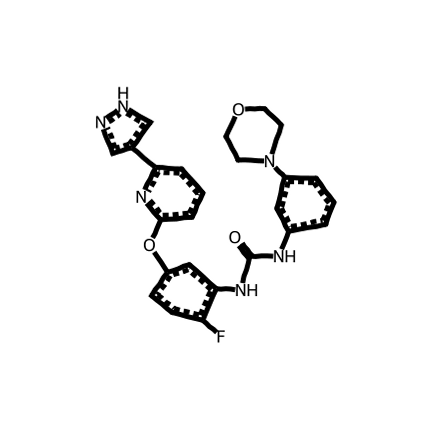 O=C(Nc1cccc(N2CCOCC2)c1)Nc1cc(Oc2cccc(-c3cn[nH]c3)n2)ccc1F